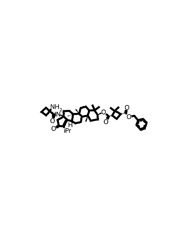 CC(C)C1=C2[C@H]3CCC4[C@@]5(C)CC[C@H](OC(=O)[C@H]6C[C@@H](C(=O)OCc7ccccc7)C6(C)C)C(C)(C)C5CC[C@@]4(C)[C@]3(C)CC[C@@]2(NC(=O)C2(N)CCC2)CC1=O